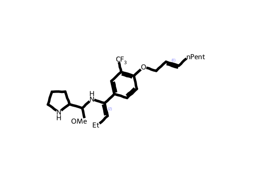 CC/C=C(\NC(OC)C1CCCN1)c1ccc(OC/C=C/CCCCC)c(C(F)(F)F)c1